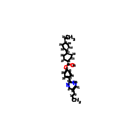 CCCc1cnc(-c2ccc(OC(=O)[C@H]3CC[C@H]([C@H]4CC[C@H](CC)CC4)CC3)cc2)nc1